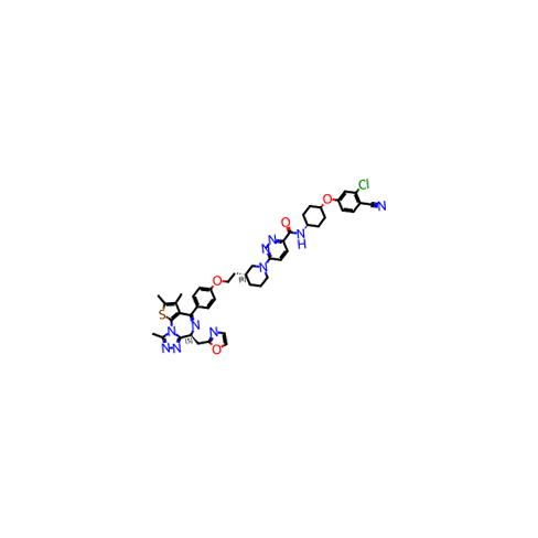 Cc1sc2c(c1C)C(c1ccc(OCC[C@H]3CCCN(c4ccc(C(=O)N[C@H]5CC[C@H](Oc6ccc(C#N)c(Cl)c6)CC5)nn4)C3)cc1)=N[C@@H](Cc1ncco1)c1nnc(C)n1-2